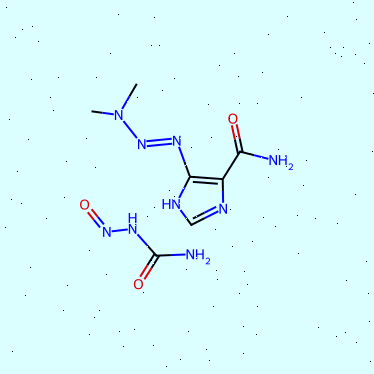 CN(C)N=Nc1[nH]cnc1C(N)=O.NC(=O)NN=O